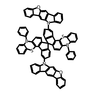 c1ccc(B2c3ccccc3Sc3c2ccc2c3-c3cc(-n4c5ccccc5c5cc6c(cc54)oc4ccccc46)ccc3C23c2ccc(-n4c5ccccc5c5cc6oc7ccccc7c6cc54)cc2-c2c3ccc3c2Sc2ccccc2B3c2ccccc2)cc1